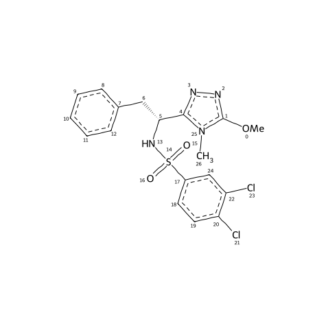 COc1nnc([C@@H](Cc2ccccc2)NS(=O)(=O)c2ccc(Cl)c(Cl)c2)n1C